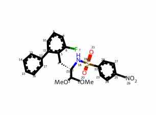 COC(OC)[C@H](Cc1c(F)cccc1-c1ccccc1)NS(=O)(=O)c1ccc([N+](=O)[O-])cc1